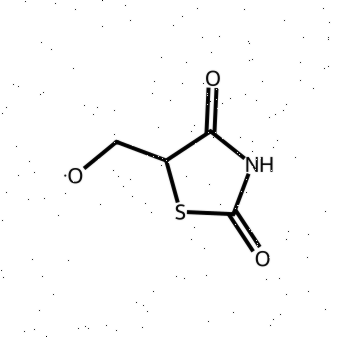 [O]CC1SC(=O)NC1=O